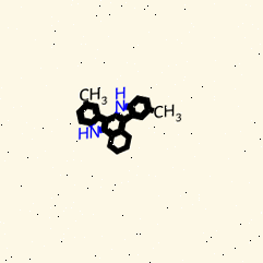 Cc1ccc2[nH]c3c(c4c(c5[nH]c6ccc(C)cc6c53)CCCC4)c2c1